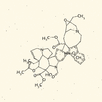 CCC12CN3CCc4c([nH]c5ccccc45)C(C(=O)OC)(c4cc5c(cc4OC)N(C=O)C4C(O)(C(=O)OC)C(OC(C)=O)C6(CC)C=CCN7CCC54C76)CC(C3)C1O2